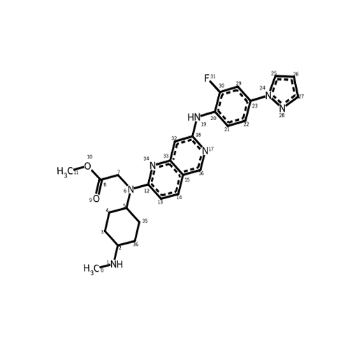 CNC1CCC(N(CC(=O)OC)c2ccc3cnc(Nc4ccc(-n5cccn5)cc4F)cc3n2)CC1